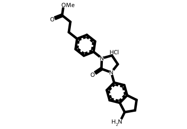 COC(=O)CCc1ccc(N2CCN(c3ccc4c(c3)CCC4N)C2=O)cc1.Cl